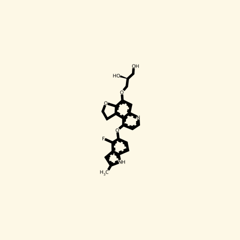 Cc1cc2c(F)c(Oc3ccnc4cc(OC[C@@H](O)CO)c5c(c34)CCO5)ccc2[nH]1